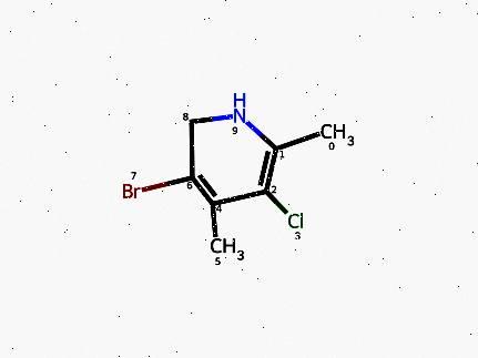 CC1=C(Cl)C(C)=C(Br)CN1